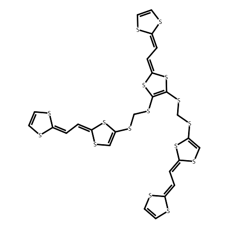 C1=CSC(=CC=C2SC(SCSC3=CS/C(=C\C=C4SC=CS4)S3)=C(SCSC3=CS/C(=C\C=C4SC=CS4)S3)S2)S1